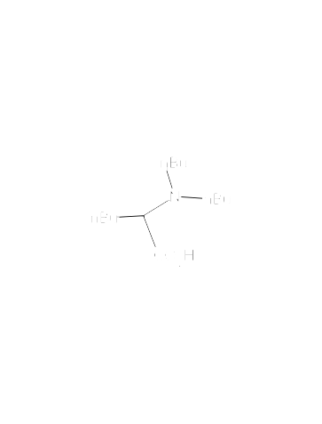 CCCCC(C(=O)O)N(CCCC)CCCC